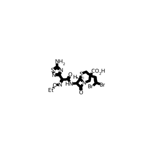 CCON=C(C(=O)NC1C(=O)N2CC(C=C(Br)Br)(C(=O)O)CS[C@H]12)c1nsc(N)n1